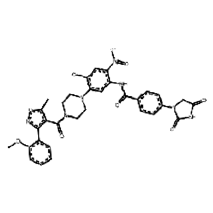 COc1ccccc1-c1noc(C)c1C(=O)N1CCN(c2cc(NC(=O)c3ccc(N4CC(=O)NC4=O)cc3)c([N+](=O)[O-])cc2Cl)CC1